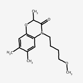 COCCCCN1C(=O)C(C)Oc2cc(C)c(C)cc21